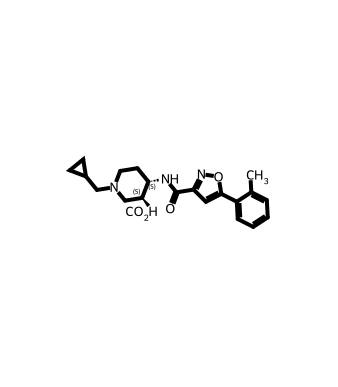 Cc1ccccc1-c1cc(C(=O)N[C@H]2CCN(CC3CC3)C[C@@H]2C(=O)O)no1